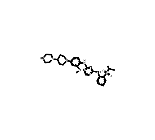 COc1cc(N2CCC(N3CCNCC3)CC2)ccc1Nc1ncnc(Nc2ccccc2S(=O)(=O)C(C)C)n1